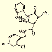 CCCCn1cc(C(=O)NCc2ccc(F)cc2Cl)c(=O)n(-c2ccccc2OC)c1=O